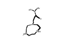 CC(C)(C)N(O)C(=O)CN1CCNCCNCC1